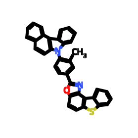 Cc1cc(-c2nc3c(ccc4sc5ccccc5c43)o2)ccc1-n1c2ccccc2c2c3ccccc3ccc21